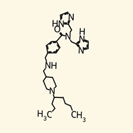 CCCCC(CCC)N1CCC(CNCc2ccc(C(=O)N(Cc3ncc[nH]3)Cc3ncc[nH]3)cc2)CC1